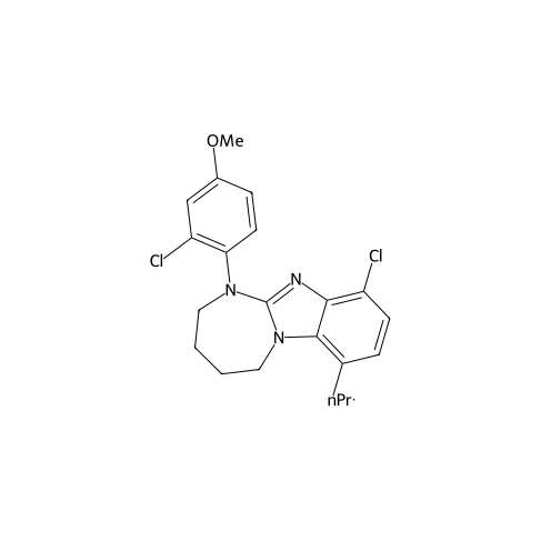 CC[CH]c1ccc(Cl)c2nc3n(c12)CCCCN3c1ccc(OC)cc1Cl